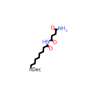 CCCCCCCCCCCCCCCCCC(=O)NC(=O)CCC(N)=O